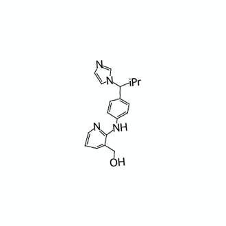 CC(C)C(c1ccc(Nc2ncccc2CO)cc1)n1ccnc1